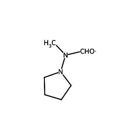 CN([C]=O)N1CCCC1